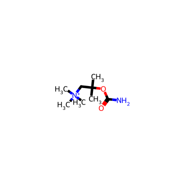 CC(C)(C[N+](C)(C)C)OC(N)=O